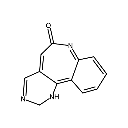 O=c1cc2c(c3ccccc3n1)NCN=C2